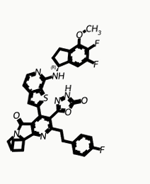 COc1c(F)c(F)cc2c1CC[C@H]2Nc1nccc2cc(-c3c4c(nc(CCc5ccc(F)cc5)c3-c3n[nH]c(=O)o3)C35CC(CN3C4=O)C5)sc12